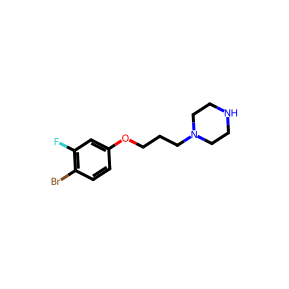 Fc1cc(OCCCN2CCNCC2)ccc1Br